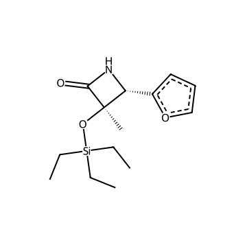 CC[Si](CC)(CC)O[C@@]1(C)C(=O)N[C@@H]1c1ccco1